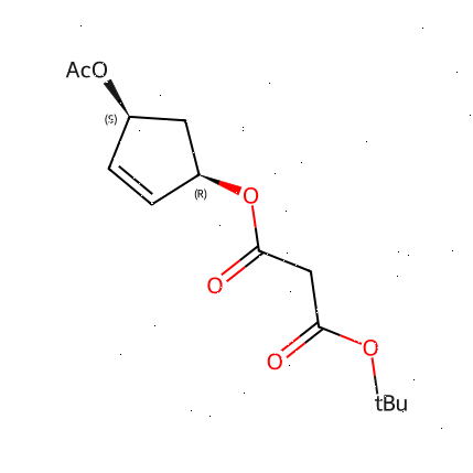 CC(=O)O[C@@H]1C=C[C@H](OC(=O)CC(=O)OC(C)(C)C)C1